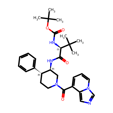 CC(C)(C)OC(=O)N[C@H](C(=O)N[C@H]1CN(C(=O)c2cccn3cncc23)CC[C@@H]1c1ccccc1)C(C)(C)C